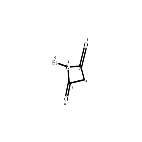 CCN1C(=O)CC1=O